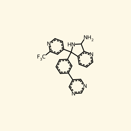 NC1NC(c2cccc(-c3cncnc3)c2)(c2ccnc(C(F)(F)F)c2)c2cccnc21